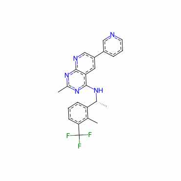 Cc1nc(N[C@H](C)c2cccc(C(F)(F)F)c2C)c2cc(-c3cccnc3)cnc2n1